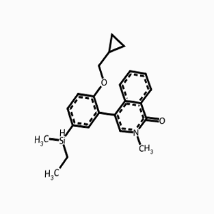 CC[SiH](C)c1ccc(OCC2CC2)c(-c2cn(C)c(=O)c3ccccc23)c1